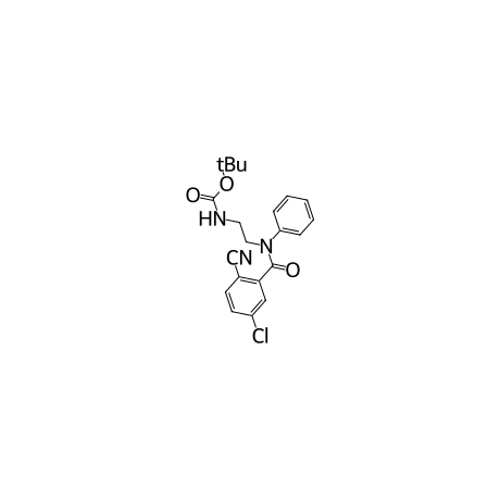 CC(C)(C)OC(=O)NCCN(C(=O)c1cc(Cl)ccc1C#N)c1ccccc1